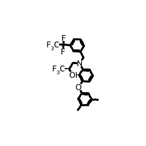 Cc1cc(C)cc(Oc2cccc(N(Cc3cccc(C(F)(F)C(F)(F)F)c3)C[C@@H](O)C(F)(F)F)c2)c1